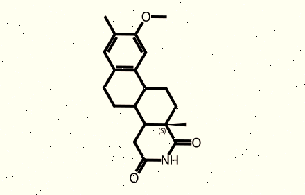 COc1cc2c(cc1C)CCC1C2CC[C@]2(C)C(=O)NC(=O)CC12